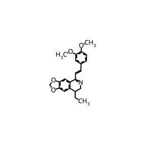 CCC1CN=C(C=Cc2ccc(OC)c(OC)c2)c2cc3c(cc21)OCO3